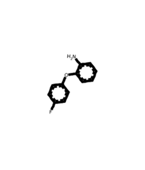 Nc1ccccc1Oc1ccc(F)cc1